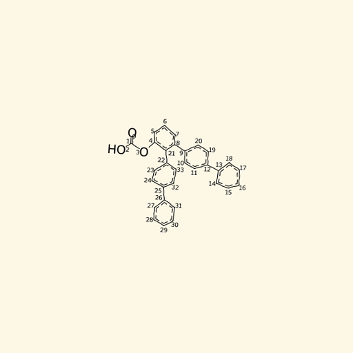 O=C(O)Oc1cccc(-c2ccc(-c3ccccc3)cc2)c1-c1ccc(-c2ccccc2)cc1